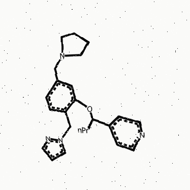 CCCC(Oc1cc(CN2CCCC2)ccc1Cn1cccn1)c1ccncc1